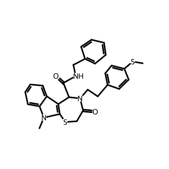 CSc1ccc(CCN2C(=O)CSc3c(c4ccccc4n3C)C2C(=O)NCc2ccccc2)cc1